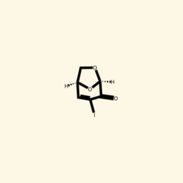 O=C1C(I)=C[C@H]2CO[C@@H]1O2